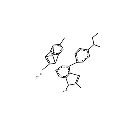 CC1=C2c3cc(C)sc3C1[Si]2(C)C.CCC(C)c1ccc(-c2cccc3c2C=C(C)[CH]3[Zr+2])cc1.[Cl-].[Cl-]